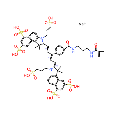 C=C(C)C(=O)NCCCNC(=O)c1ccc(C(=C\C=C2/N(CCCS(=O)(=O)O)c3ccc4c(S(=O)(=O)O)cc(S(=O)(=O)O)cc4c3C2(C)C)/C=C/C2N(CCCS(=O)(=O)O)c3ccc4c(S(=O)(=O)O)cc(S(=O)(=O)O)cc4c3C2(C)C)cc1.[NaH]